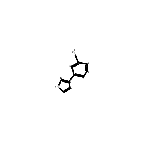 [CH2]Cc1cccc(-c2ccsc2)c1